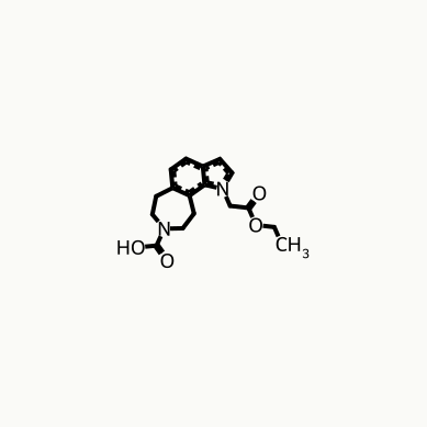 CCOC(=O)Cn1ccc2ccc3c(c21)CCN(C(=O)O)CC3